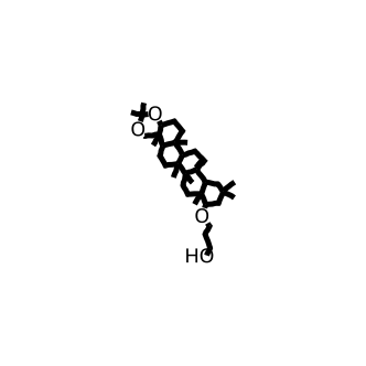 CC1(C)CC(OCCCO)C2(C)CCC3(C)C(=CCC4C5(C)CCC6OC(C)(C)OCC6(C)C5CCC43C)C2C1